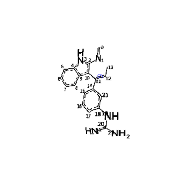 C=Nc1[nH]c2ccccc2c1/C(=C\C)c1cccc(NC(=N)N)c1